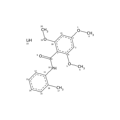 COc1cc(OC)c(C(=O)Pc2ccccc2C)c(OC)c1.[LiH]